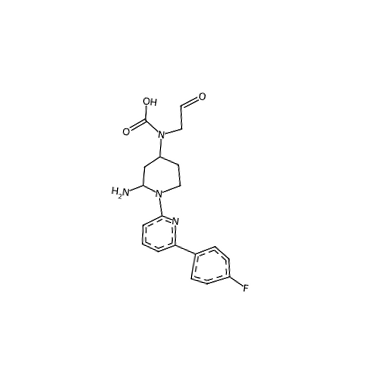 NC1CC(N(CC=O)C(=O)O)CCN1c1cccc(-c2ccc(F)cc2)n1